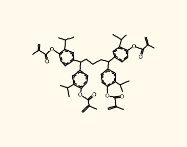 C=C(C)C(=O)Oc1ccc(C(CCCC(c2ccc(OC(=O)C(=C)C)c(C(C)C)c2)c2ccc(OC(=O)C(=C)C)c(C(C)C)c2)c2ccc(OC(=O)C(=C)C)c(C(C)C)c2)cc1C(C)C